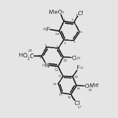 COc1c(Cl)ccc(-c2cc(C(=O)O)nc(-c3ccc(Cl)c(OC)c3F)c2Cl)c1F